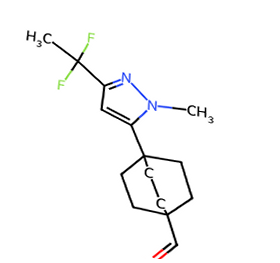 Cn1nc(C(C)(F)F)cc1C12CCC(C=O)(CC1)CC2